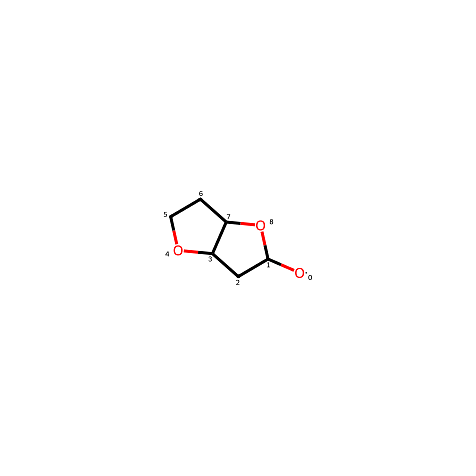 [O]C1CC2OCCC2O1